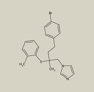 Cc1ccccc1SC(C)(CCc1ccc(Br)cc1)Cn1ccnc1